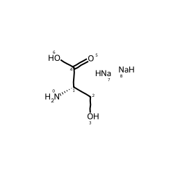 N[C@@H](CO)C(=O)O.[NaH].[NaH]